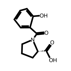 O=C(O)[C@@H]1CCCN1C(=O)c1ccccc1O